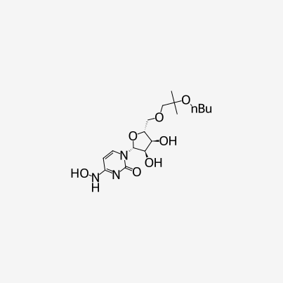 CCCCOC(C)(C)COC[C@H]1O[C@@H](n2ccc(NO)nc2=O)[C@H](O)[C@@H]1O